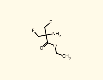 CCOC(=O)C(N)(CF)CF